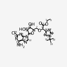 CCOC(=O)C(OC[C@H]1O[C@@H](n2cnc3c(N)nc(Cl)nc32)[C@H](O)[C@@H]1O)c1nnn(C(C)(C)C)n1